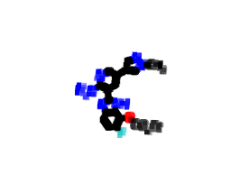 CCOC(=O)Oc1c(F)ccc2nc(-c3cc(-c4cnn(C)c4)cnc3N)[nH]c12